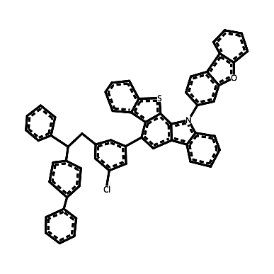 Clc1cc(CC(c2ccccc2)c2ccc(-c3ccccc3)cc2)cc(-c2cc3c4ccccc4n(-c4ccc5c(c4)oc4ccccc45)c3c3sc4ccccc4c23)c1